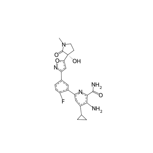 CN1CC[C@@](O)(c2cc(-c3ccc(F)c(-c4cc(C5CC5)c(N)c(C(N)=O)n4)c3)no2)C1=O